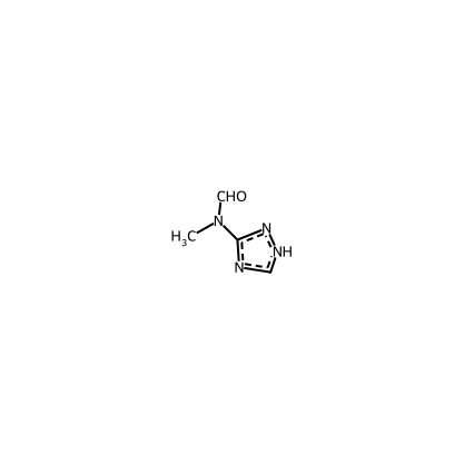 CN(C=O)c1nc[nH]n1